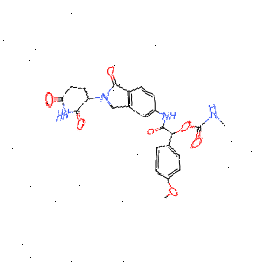 CNC(=O)OC(C(=O)Nc1ccc2c(c1)CN(C1CCC(=O)NC1=O)C2=O)c1ccc(OC)cc1